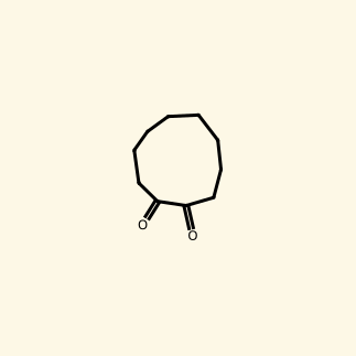 O=C1CCCCCCCCC1=O